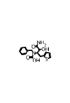 NC(=O)C(O)C(Cc1cccs1)N(Cc1ccccc1)C(=O)O